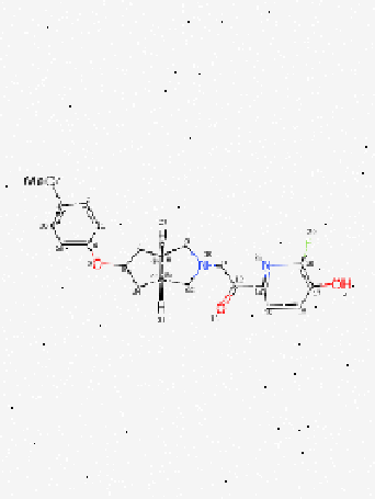 COc1ccc(OC2C[C@@H]3CN(CC(=O)c4ccc(O)c(F)n4)C[C@@H]3C2)cc1